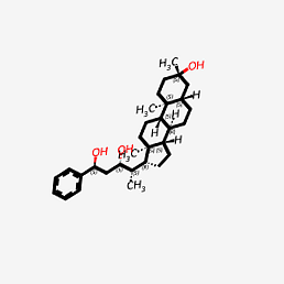 C[C@@H]([C@H]1CC[C@H]2[C@@H]3CC[C@H]4C[C@@](C)(O)CC[C@]4(C)[C@H]3CC[C@]12C)[C@@H](O)C[C@H](O)c1ccccc1